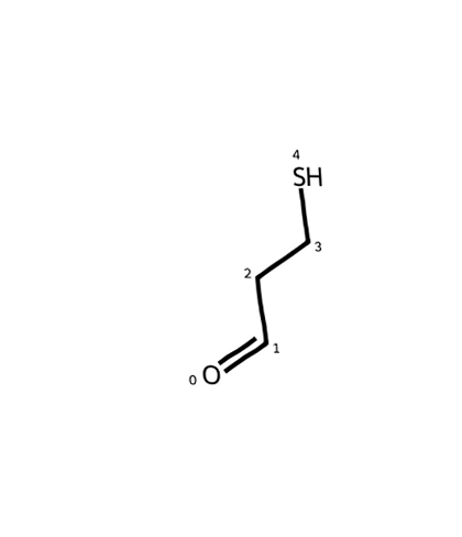 O=CCCS